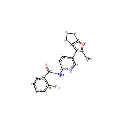 Cc1oc2c(c1-c1ccc(NC(=O)c3ccccc3F)nc1)CCC2